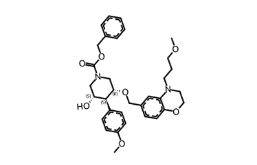 COCCCN1CCOc2ccc(CO[C@H]3CN(C(=O)OCc4ccccc4)C[C@@H](O)[C@@H]3c3ccc(OC)cc3)cc21